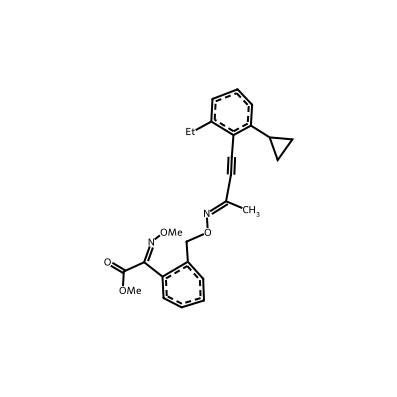 CCc1cccc(C2CC2)c1C#C/C(C)=N/OCc1ccccc1/C(=N\OC)C(=O)OC